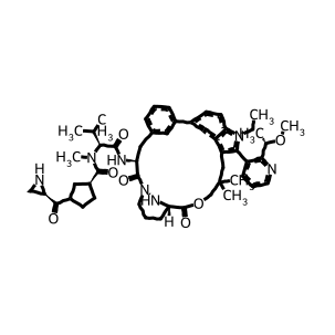 CCn1c(-c2cccnc2[C@H](C)OC)c2c3cc(ccc31)-c1cccc(c1)C[C@H](NC(=O)[C@H](C(C)C)N(C)C(=O)[C@H]1CCC(C(=O)[C@H]3CN3)C1)C(=O)N1CCC[C@H](N1)C(=O)OCC(C)(C)C2